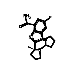 C[C@@]1(c2nc3c(C(N)=O)cc(F)cc3[nH]2)CCCN1C1CCCC1